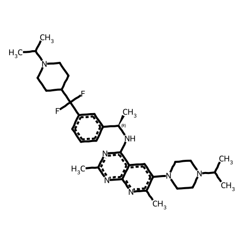 Cc1nc(N[C@H](C)c2cccc(C(F)(F)C3CCN(C(C)C)CC3)c2)c2cc(N3CCN(C(C)C)CC3)c(C)nc2n1